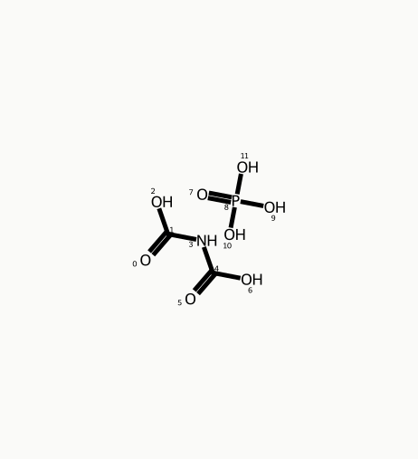 O=C(O)NC(=O)O.O=P(O)(O)O